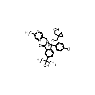 Cc1cnc(CN2C(=O)c3cc(C(C)(C)O)ccc3[C@]2(OCC2(CO)CC2)c2ccc(Cl)cc2)cn1